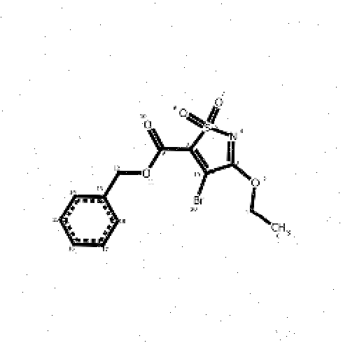 CCOC1=NS(=O)(=O)C(C(=O)OCc2ccccc2)=C1Br